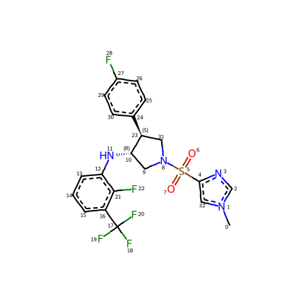 Cn1cnc(S(=O)(=O)N2C[C@H](Nc3cccc(C(F)(F)F)c3F)[C@@H](c3ccc(F)cc3)C2)c1